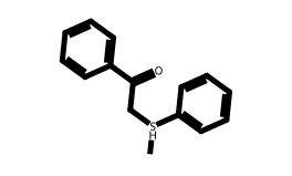 C[SH](CC(=O)c1ccccc1)c1ccccc1